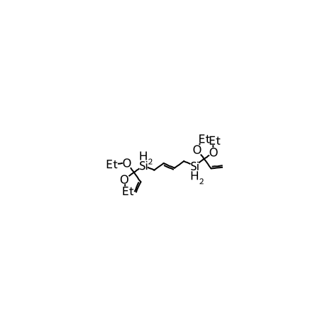 C=CC(OCC)(OCC)[SiH2]CC=CC[SiH2]C(C=C)(OCC)OCC